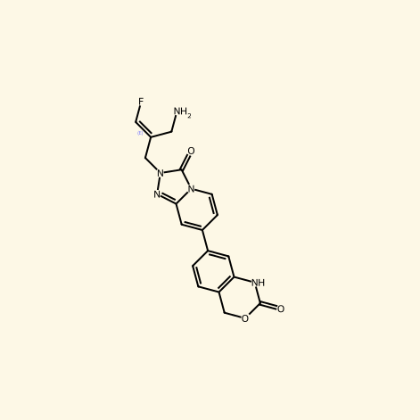 NC/C(=C\F)Cn1nc2cc(-c3ccc4c(c3)NC(=O)OC4)ccn2c1=O